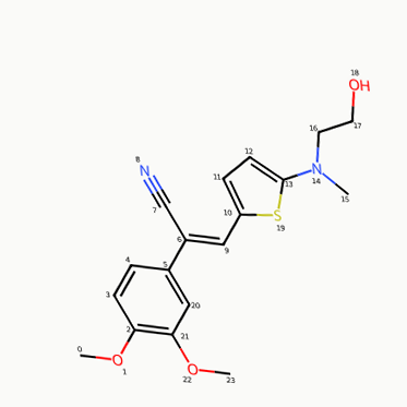 COc1ccc(C(C#N)=Cc2ccc(N(C)CCO)s2)cc1OC